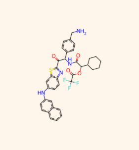 NCc1ccc(C(NC(=O)C(OC(=O)C(F)(F)F)C2CCCCC2)C(=O)c2nc3ccc(Nc4ccc5ccccc5c4)cc3s2)cc1